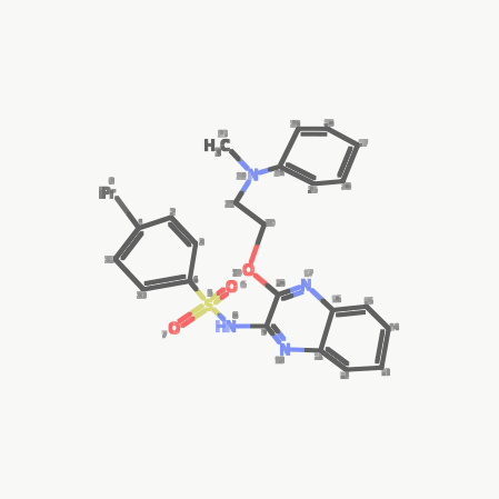 CC(C)c1ccc(S(=O)(=O)Nc2nc3ccccc3nc2OCCN(C)c2ccccc2)cc1